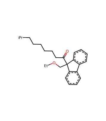 CCOCC1(C(=O)CCCCCCC(C)C)c2ccccc2-c2ccccc21